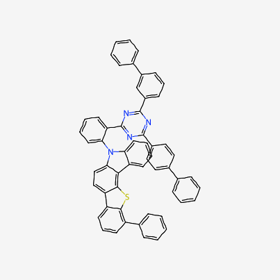 c1ccc(-c2ccc(-c3nc(-c4cccc(-c5ccccc5)c4)nc(-c4ccccc4-n4c5ccccc5c5c6sc7c(-c8ccccc8)cccc7c6ccc54)n3)cc2)cc1